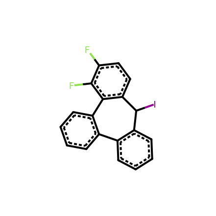 Fc1ccc2c(c1F)-c1ccccc1-c1ccccc1C2I